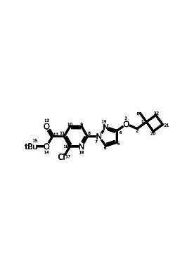 CC1(COc2ccn(-c3ccc(C(=O)OC(C)(C)C)c(Cl)n3)n2)CCC1